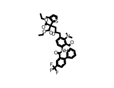 CCOC(=O)C(CC(=O)Cc1ccc(NC(=O)c2cc(C(F)(F)F)ccc2-c2ccccc2)c(C=O)c1N(C)C)(C(=O)OCC)c1sccc1C